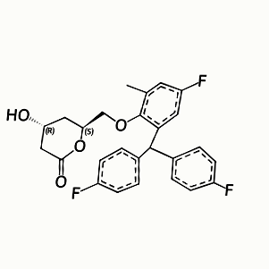 Cc1cc(F)cc(C(c2ccc(F)cc2)c2ccc(F)cc2)c1OC[C@@H]1C[C@@H](O)CC(=O)O1